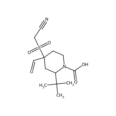 CC(C)(C)C1CC(C=O)(S(=O)(=O)CC#N)CCN1C(=O)O